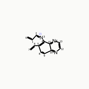 C=C/C=N\c1c(C=C)ccc2nccnc12